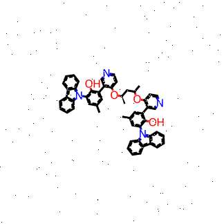 Cc1cc(-c2cnccc2OC(C)C[C@@H](C)Oc2ccncc2-c2cc(C)cc(-n3c4ccccc4c4ccccc43)c2O)c(O)c(-n2c3ccccc3c3ccccc32)c1